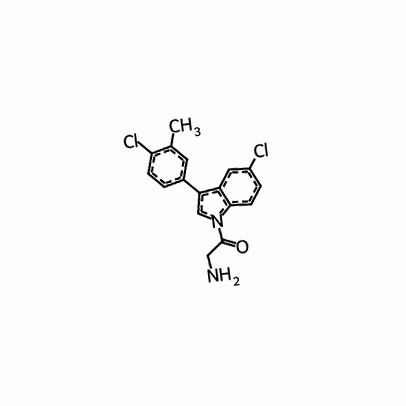 Cc1cc(-c2cn(C(=O)CN)c3ccc(Cl)cc23)ccc1Cl